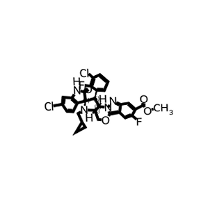 COC(=O)c1cc2nn3c(c2cc1F)OC[C@H]1[C@@H]3[C@H](c2cccc(Cl)c2F)[C@]2(C(=O)Nc3cc(Cl)ccc32)N1CC1CC1